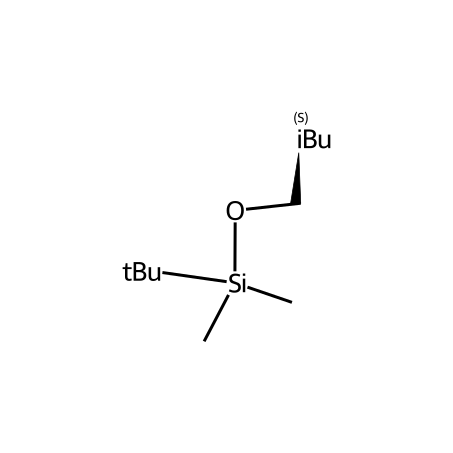 CC[C@H](C)CO[Si](C)(C)C(C)(C)C